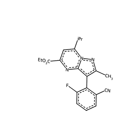 CCOC(=O)c1cc(C(C)C)n2nc(C)c(-c3c(F)cccc3C#N)c2n1